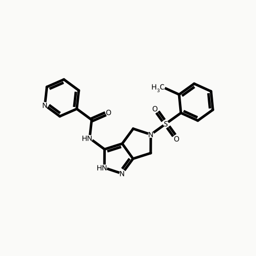 Cc1ccccc1S(=O)(=O)N1Cc2n[nH]c(NC(=O)c3cccnc3)c2C1